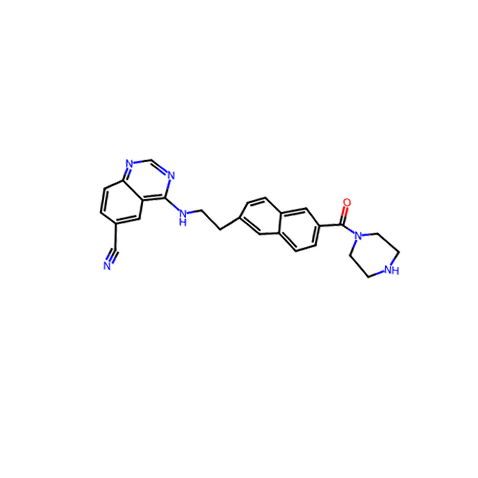 N#Cc1ccc2ncnc(NCCc3ccc4cc(C(=O)N5CCNCC5)ccc4c3)c2c1